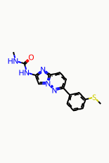 CNC(=O)Nc1cn2nc(-c3cccc(SC)c3)ccc2n1